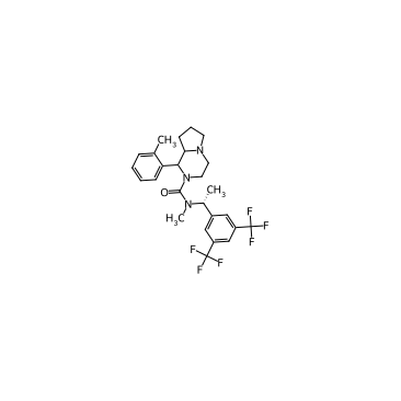 Cc1ccccc1C1C2CCCN2CCN1C(=O)N(C)[C@H](C)c1cc(C(F)(F)F)cc(C(F)(F)F)c1